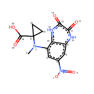 CN(c1cc([N+](=O)[O-])cc2[nH]c(=O)c(=O)[nH]c12)C1(C(=O)O)CC1